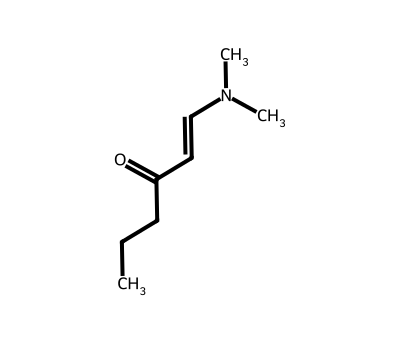 CCCC(=O)C=CN(C)C